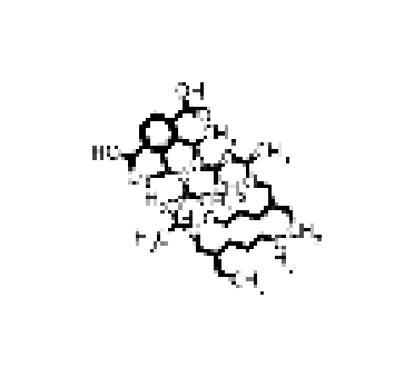 CCCCC(CC)COC(C)OC(C)OC(C)c1c(C(=O)O)ccc(C(=O)O)c1C(C)OC(C)OC(C)OCC(CC)CCCC